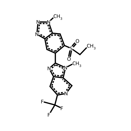 CCS(=O)(=O)c1cc2c(cc1-c1nc3cc(C(F)(F)F)ncc3n1C)nnn2C